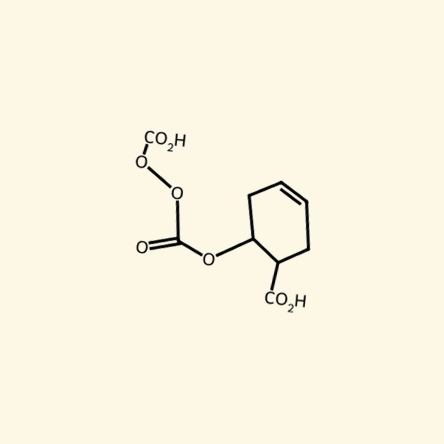 O=C(O)OOC(=O)OC1CC=CCC1C(=O)O